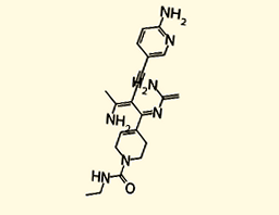 C=C(N)/N=C(C1=CCN(C(=O)NCC)CC1)\C(C#Cc1ccc(N)nc1)=C(\C)N